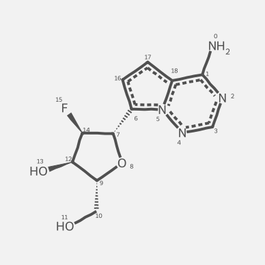 Nc1ncnn2c([C@@H]3O[C@H](CO)[C@@H](O)[C@H]3F)ccc12